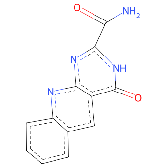 NC(=O)c1nc2nc3ccccc3cc2c(=O)[nH]1